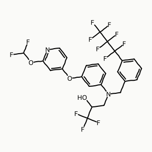 OC(CN(Cc1cccc(C(F)(F)C(F)(F)C(F)(F)F)c1)c1cccc(Oc2ccnc(OC(F)F)c2)c1)C(F)(F)F